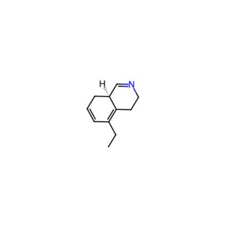 CCC1=C2CCN=C[C@@H]2CC=C1